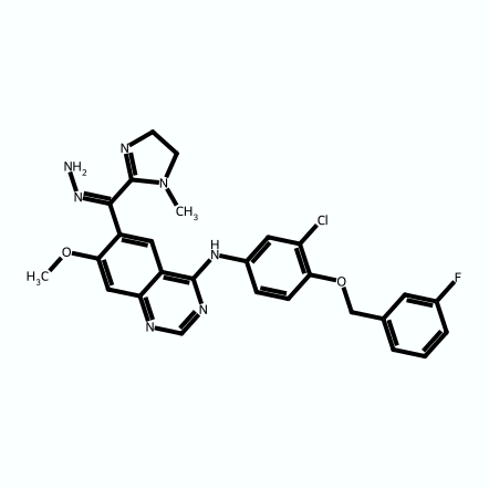 COc1cc2ncnc(Nc3ccc(OCc4cccc(F)c4)c(Cl)c3)c2cc1C(=NN)C1=NCCN1C